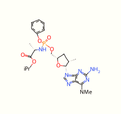 CNc1nc(N)nc2c1ncn2[C@@H]1O[C@H](COP(=O)(N[C@@H](C)C(=O)OC(C)C)Oc2ccccc2)C[C@@H]1C